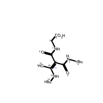 CCCCNC(=O)/C(C(=O)NCC(=O)O)=C(/O)NCCCC